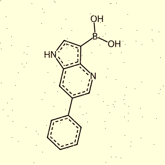 OB(O)c1c[nH]c2cc(-c3ccccc3)cnc12